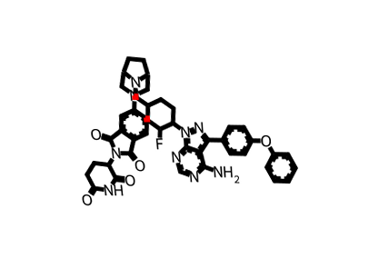 Nc1ncnc2c1c(-c1ccc(Oc3ccccc3)cc1)nn2C1CCC(CN2C3CCC2CN(c2ccc4c(c2)C(=O)N(C2CCC(=O)NC2=O)C4=O)C3)CC1F